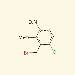 COc1c([N+](=O)[O-])ccc(Cl)c1CBr